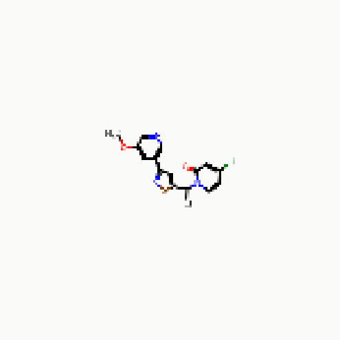 COc1cncc(-c2cc(C(C)n3ccc(Cl)cc3=O)sn2)c1